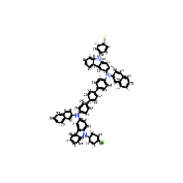 Fc1ccc(-n2c3ccccc3c3cc(N(c4ccc(-c5ccc(-c6ccc(N(c7ccc8ccccc8c7)c7ccc8c(c7)c7ccccc7n8-c7ccc(F)cc7)cc6)cc5)cc4)c4ccc5ccccc5c4)ccc32)cc1